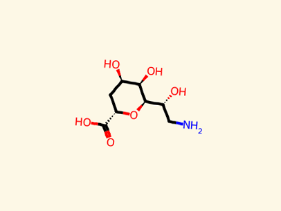 NC[C@@H](O)[C@H]1O[C@H](C(=O)O)C[C@@H](O)[C@H]1O